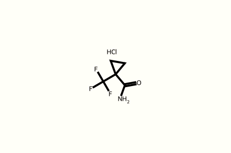 Cl.NC(=O)C1(C(F)(F)F)CC1